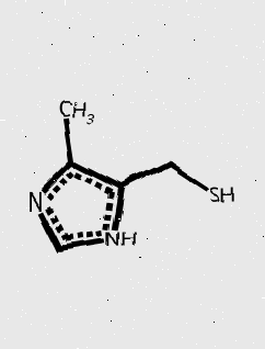 Cc1nc[nH]c1CS